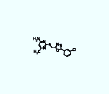 Cc1cc(N)nc(SCc2nnc(-c3cccc(Cl)c3)o2)n1